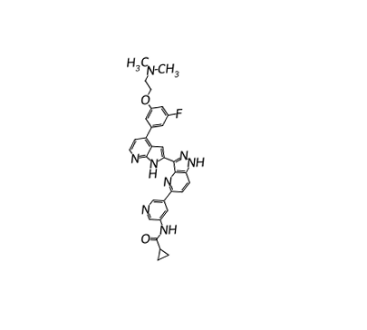 CN(C)CCOc1cc(F)cc(-c2ccnc3[nH]c(-c4n[nH]c5ccc(-c6cncc(NC(=O)C7CC7)c6)nc45)cc23)c1